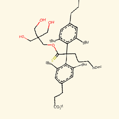 CCCCCCCCCCCCCC(C(=S)OCC(CO)(CO)CO)(c1c(C(C)(C)C)cc(CCC(=O)O)cc1C(C)(C)C)c1c(C(C)(C)C)cc(CCC(=O)O)cc1C(C)(C)C